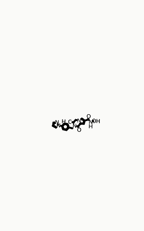 CC1Cn2cc(C(=O)NO)cc2C(=O)N1Cc1ccc(-n2cccn2)cc1